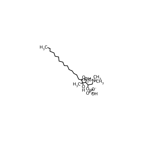 CCCCCCCCCCCCCCCC(=O)C(C)(O)C(O)C(C[N+](C)(C)C)OP(=O)([O-])O